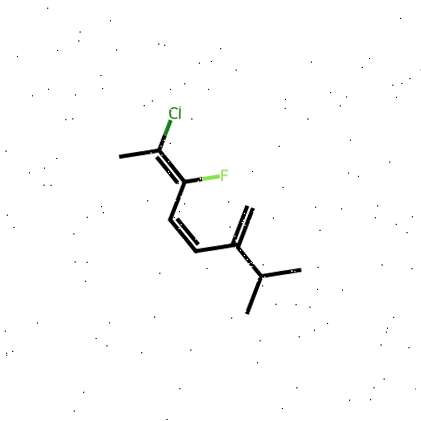 C=C(/C=C\C(F)=C(/C)Cl)C(C)C